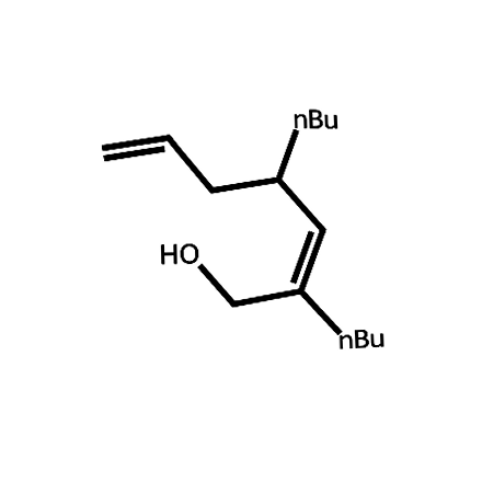 C=CCC(C=C(CO)CCCC)CCCC